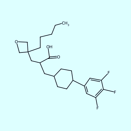 CCCCCC1(CC(CC2CCC(c3cc(F)c(F)c(F)c3)CC2)C(=O)O)COC1